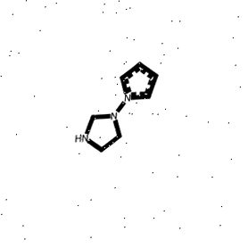 c1ccn(N2CCNC2)c1